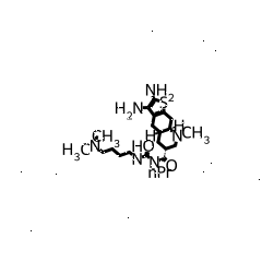 CCCN(C(=O)NCCCCN(C)C)C(=O)[C@@H]1C[C@@H]2Cc3c(sc(N)c3N)C[C@H]2N(C)C1